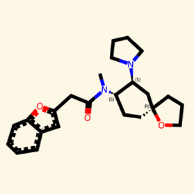 CN(C(=O)Cc1cc2ccccc2o1)[C@H]1CC[C@@]2(CCCO2)C[C@@H]1N1CCCC1